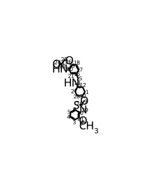 COc1cccc2sc(O[C@H]3CC[C@H](NCc4ccc5c(c4)NC(=O)CO5)CC3)nc12